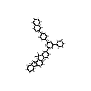 CC1(C)c2cc(-c3nc(-c4ccccc4)nc(-c4ccc(-c5ccc6ccccc6c5)cc4)n3)ccc2-c2ccc3c(oc4ccccc43)c21